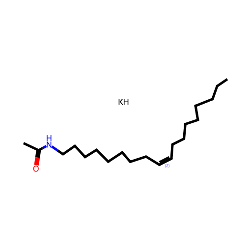 CCCCCCCC/C=C\CCCCCCCCNC(C)=O.[KH]